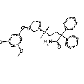 COc1cc(Cl)cc(O[C@H]2CCN(C(C)(C)CCC(C(N)=O)(c3ccccc3)c3ccccc3)C2)c1